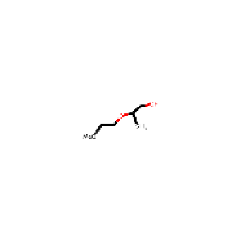 COCCOC([SiH3])CO